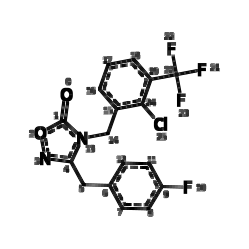 O=c1onc(Cc2ccc(F)cc2)n1Cc1cccc(C(F)(F)F)c1Cl